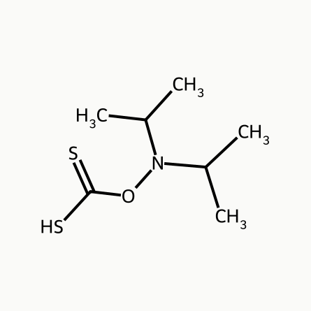 CC(C)N(OC(=S)S)C(C)C